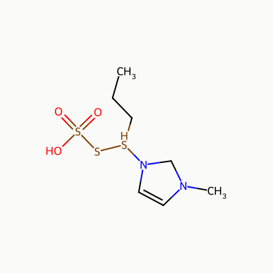 CCC[SH](SS(=O)(=O)O)N1C=CN(C)C1